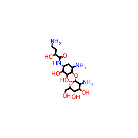 NCCC(O)C(=O)N[C@@H]1CC(N)[C@@H](O[C@H]2OC(CO)[C@@H](O)C(O)C2N)C(O)C1O